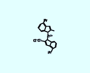 CC1=Cc2c(C(C)C)cccc2[CH]1[Zr+2][CH]1C(C)=Cc2c(C(C)C)cccc21.[Cl-].[Cl-]